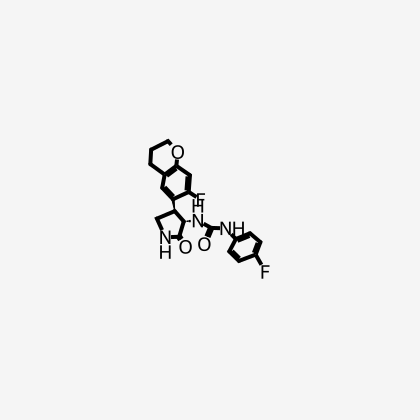 O=C(Nc1ccc(F)cc1)N[C@@H]1C(=O)NC[C@H]1c1cc2c(cc1F)OCCC2